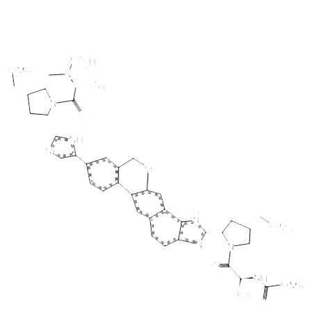 CC[C@H](C)[C@H](NC(=O)OC)C(=O)N1C[C@@H](COC)C[C@H]1c1nc2ccc3cc4c(cc3c2[nH]1)OCc1cc(-c2cnc([C@@H]3C[C@H](COC)CN3C(=O)[C@H]([C@@H](C)CC)N(C)C(=O)O)[nH]2)ccc1-4